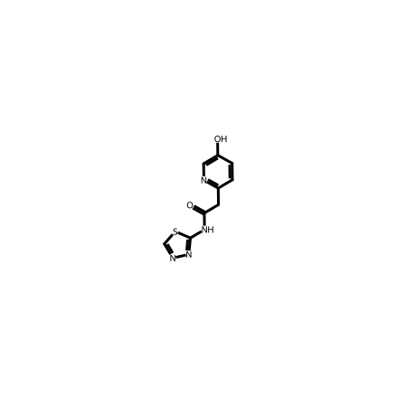 O=C(Cc1ccc(O)cn1)Nc1nncs1